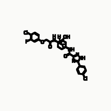 O=C(COc1ccc(Cl)c(F)c1)NC12CCC(NC(=O)c3n[nH]c(-c4ccc(Cl)cc4)n3)(CC1)C[C@@H]2O